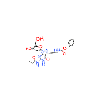 CC(C)C(=O)Nc1nc2c(c(C#CCNC(=O)OCc3ccccc3)nn2[C@H]2C[C@H](O)[C@@H](CO)O2)c(=O)[nH]1